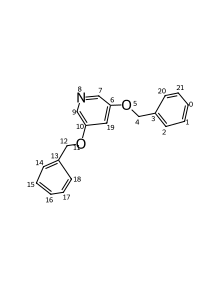 c1ccc(COc2cncc(OCc3ccccc3)c2)cc1